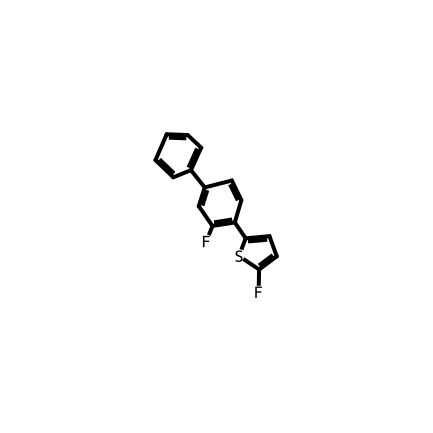 Fc1ccc(-c2ccc(-c3ccccc3)cc2F)s1